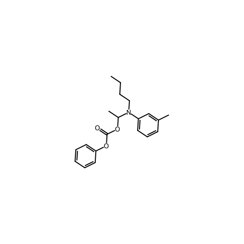 CCCCN(c1cccc(C)c1)C(C)OC(=O)Oc1ccccc1